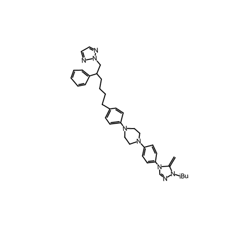 C=C1N(c2ccc(N3CCN(c4ccc(CCCCC(Cn5nccn5)c5ccccc5)cc4)CC3)cc2)C=NN1C(C)CC